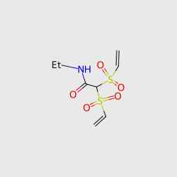 C=CS(=O)(=O)C(C(=O)NCC)S(=O)(=O)C=C